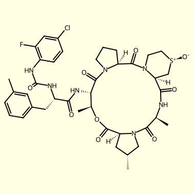 Cc1cccc(C[C@H](NC(=O)Nc2ccc(Cl)cc2F)C(=O)N[C@@H]2C(=O)N3CCC[C@H]3C(=O)N3CC[S@@+]([O-])C[C@H]3C(=O)N[C@@H](C)C(=O)N3C[C@H](C)C[C@H]3C(=O)O[C@H]2C)c1